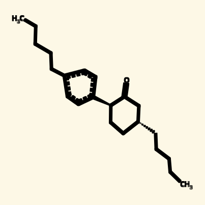 CCCCCc1ccc([C@@H]2CC[C@@H](CCCCC)CC2=O)cc1